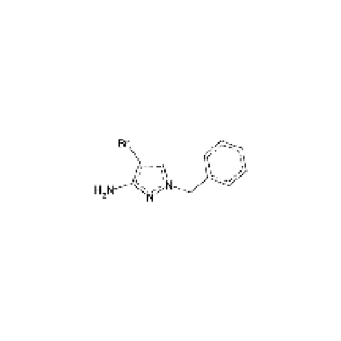 Nc1nn(Cc2ccccc2)cc1Br